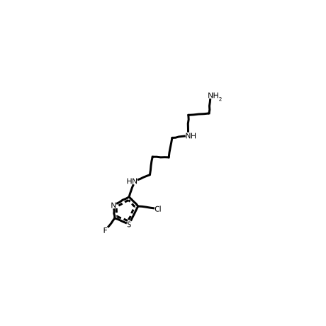 NCCNCCCCNc1nc(F)sc1Cl